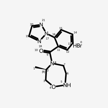 Br.C[C@@H]1CONCCN1C(=O)c1ccccc1-n1nccn1